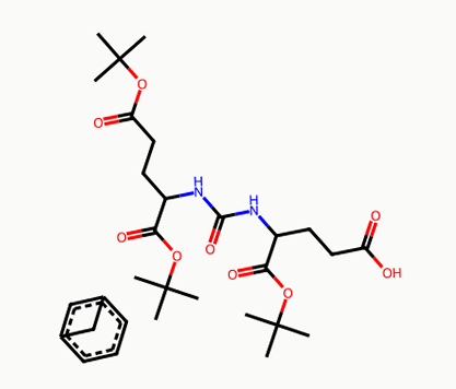 CC(C)(C)OC(=O)CCC(NC(=O)NC(CCC(=O)O)C(=O)OC(C)(C)C)C(=O)OC(C)(C)C.c1cc2cc(c1)C2